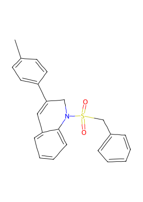 Cc1ccc(C2=Cc3ccccc3N(S(=O)(=O)Cc3ccccc3)C2)cc1